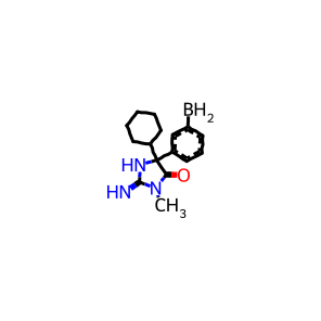 Bc1cccc(C2(C3CCCCC3)NC(=N)N(C)C2=O)c1